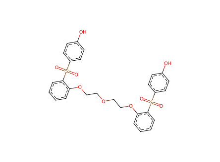 O=S(=O)(c1ccc(O)cc1)c1ccccc1OCCOCCOc1ccccc1S(=O)(=O)c1ccc(O)cc1